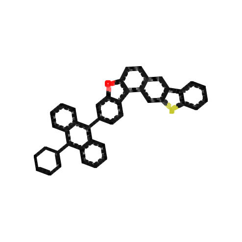 C1=CCCC(c2c3ccccc3c(-c3ccc4c(c3)oc3ccc5cc6c(cc5c34)sc3ccccc36)c3ccccc23)=C1